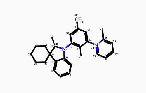 Cc1c(N2c3ccccc3C3(CCCCC3)[C@H]2C)cc(C(F)(F)F)cc1-[n+]1ccccc1C